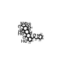 CN(C)[C@H]1C(O)=C(C(N)=O)C(=O)[C@@]2(O)C(O)=C3C(=O)c4c(O)ccc(C(=O)Cc5ccccn5)c4C[C@H]3C[C@@H]12